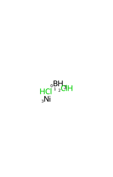 B.Cl.Cl.[Ni]